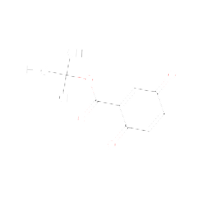 CC(C)(C)OC(=O)C1=CC(=O)C=CC1=O